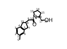 Cc1ccc2c(c1)CC(CC(=O)N1CCC[C@H]1CO)C2